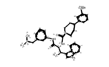 COc1cccc(C2CCN(C(=O)N[C@@H](C(=O)Nc3cccc(CN(C)C)c3)[C@H](C)c3c[nH]c4ccccc34)CC2)c1